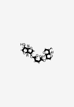 C[C@@H]1CO[C@H]2[C@@H]1OC[C@H]2OC(=O)/C=C\C(=O)O[C@@H]1CO[C@H]2[C@@H]1OC[C@H]2O